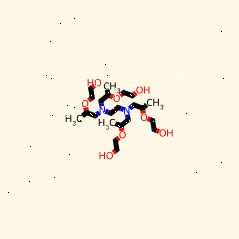 CC(CN(CCN(CC(C)OCCO)CC(C)OCCO)CC(C)OCCO)OCCO